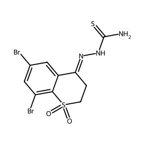 NC(=S)NN=C1CCS(=O)(=O)c2c(Br)cc(Br)cc21